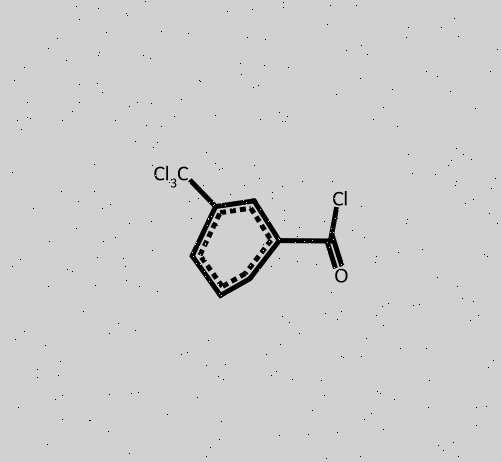 O=C(Cl)c1cccc(C(Cl)(Cl)Cl)c1